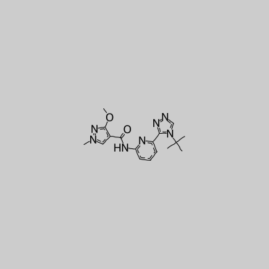 COc1nn(C)cc1C(=O)Nc1cccc(-c2nncn2C(C)(C)C)n1